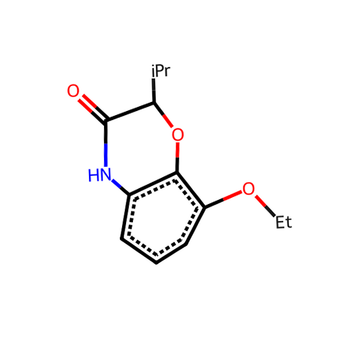 CCOc1cccc2c1OC(C(C)C)C(=O)N2